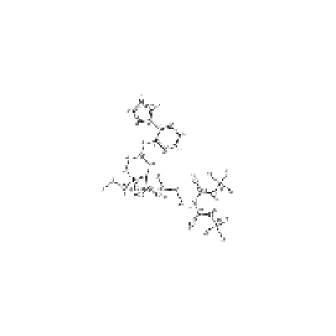 CCOP1(=O)CCN(Cc2ccccc2-c2ccno2)CC1(CCCCN(C(=O)OC(C)(C)C)C(=O)OC(C)(C)C)C(=O)O